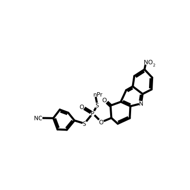 CCCSP(=O)(OC1C=Cc2nc3ccc([N+](=O)[O-])cc3cc2C1=O)Sc1ccc(C#N)cc1